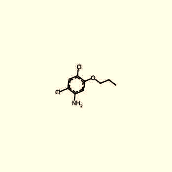 CCCOc1cc(N)c(Cl)cc1Cl